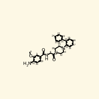 COc1cc(C(=O)NCC(=O)N2CCN(c3ccccc3-c3ccccc3)CC2)ccc1N